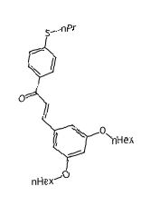 CCCCCCOc1cc(/C=C/C(=O)c2ccc(SCCC)cc2)cc(OCCCCCC)c1